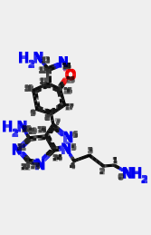 NCCCCn1nc(-c2ccc3c(N)noc3c2)c2c(N)ncnc21